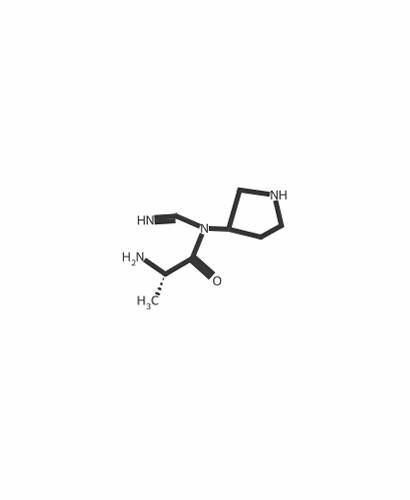 C[C@H](N)C(=O)N([C]=N)C1CCNC1